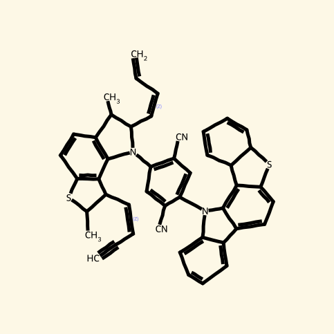 C#C/C=C\C1c2c(ccc3c2N(c2cc(C#N)c(-n4c5ccccc5c5ccc6c(c54)C4C=CC=CC4S6)cc2C#N)C(/C=C\C=C)C3C)SC1C